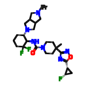 CC(C)N1CC2CN([C@H]3CCCC(F)(F)[C@@H]3NC(=O)N3CCC(C)(c4noc([C@@H]5C[C@@H]5F)n4)CC3)CC2C1